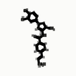 CC1CN(c2ccc(Cl)c(Cl)c2)N=C1NC(=O)c1cnc(/C=C/C(=O)O)nc1